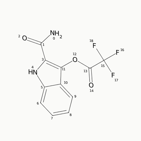 NC(=O)c1[nH]c2ccccc2c1OC(=O)C(F)(F)F